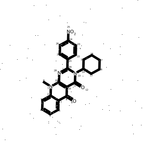 Cn1c2ccccc2c(=O)c2c(=O)n(C3CCCCC3)c(-c3ccc([N+](=O)[O-])cc3)nc21